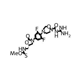 COC(=S)NC[C@H]1CN(c2cc(F)c(N3CCON(C(=O)NC(=N)N)CC3)c(F)c2)C(=O)O1